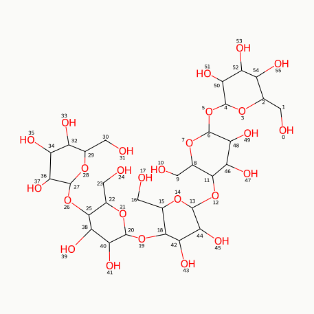 OCC1OC(OC2OC(CO)C(OC3OC(CO)C(OC4OC(CO)C(OC5OC(CO)C(O)C(O)C5O)C(O)C4O)C(O)C3O)C(O)C2O)C(O)C(O)C1O